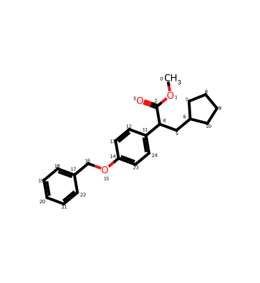 COC(=O)C(CC1CCCC1)c1ccc(OCc2ccccc2)cc1